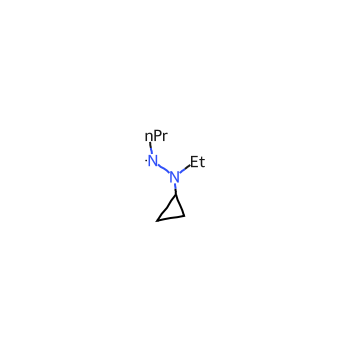 CCC[N]N(CC)C1CC1